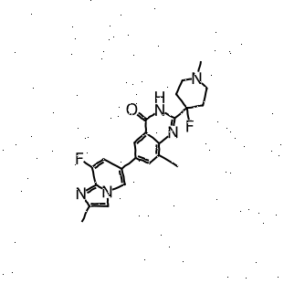 Cc1cn2cc(-c3cc(C)c4nc(C5(F)CCN(C)CC5)[nH]c(=O)c4c3)cc(F)c2n1